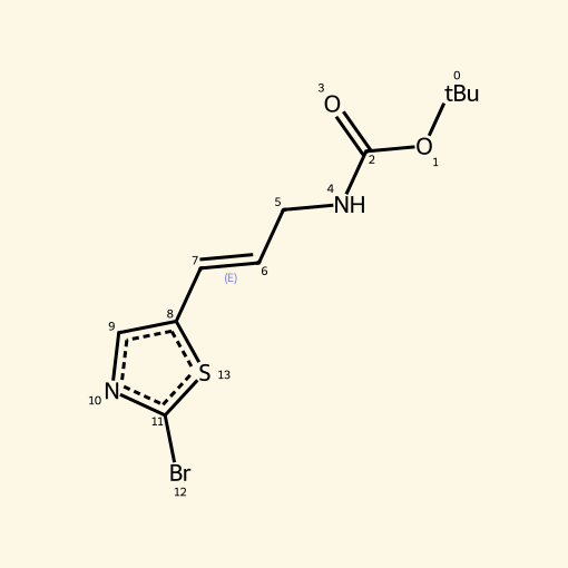 CC(C)(C)OC(=O)NC/C=C/c1cnc(Br)s1